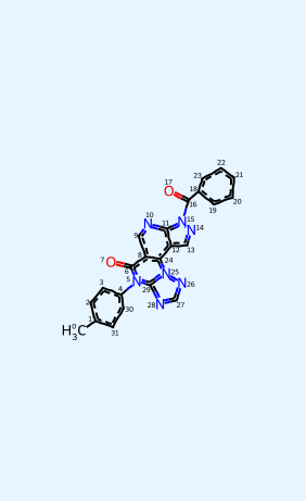 Cc1ccc(-n2c(=O)c3cnc4c(cnn4C(=O)c4ccccc4)c3n3ncnc23)cc1